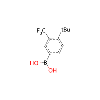 CC(C)(C)c1ccc(B(O)O)cc1C(F)(F)F